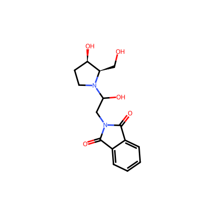 O=C1c2ccccc2C(=O)N1CC(O)N1CC[C@@H](O)[C@H]1CO